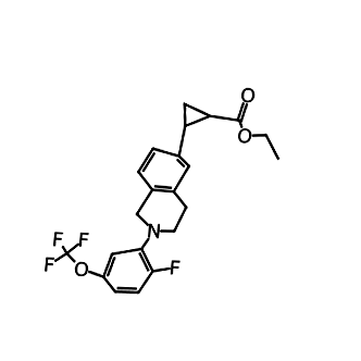 CCOC(=O)C1CC1c1ccc2c(c1)CCN(c1cc(OC(F)(F)F)ccc1F)C2